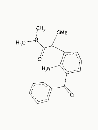 CSC(C(=O)N(C)C)c1cccc(C(=O)c2ccccc2)c1N